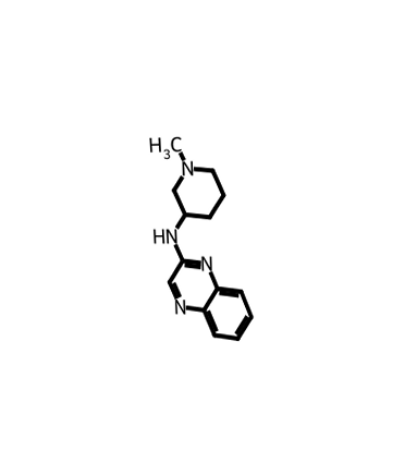 CN1CCCC(Nc2cnc3ccccc3n2)C1